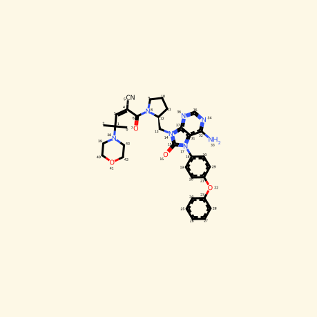 CC(C)(/C=C(/C#N)C(=O)N1CCC[C@H]1Cn1c(=O)n(-c2ccc(Oc3ccccc3)cc2)c2c(N)ncnc21)N1CCOCC1